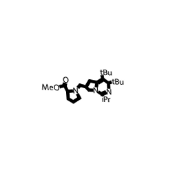 COC(=O)C1CCCN1CC1CC2=C(C(C)(C)C)C(C(C)(C)C)N=C(C(C)C)N2C1